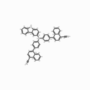 N#Cc1ccc(-c2ccc(N(c3ccc(-c4ccc(C#N)c5ccccc45)cc3)c3ccc4oc5ccccc5c4c3)cc2)c2ccccc12